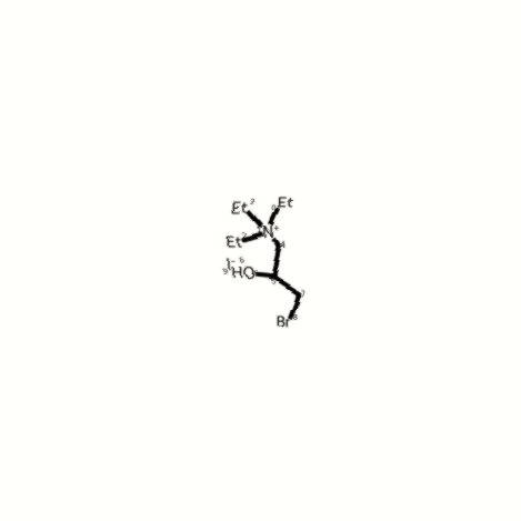 CC[N+](CC)(CC)CC(O)CBr.[I-]